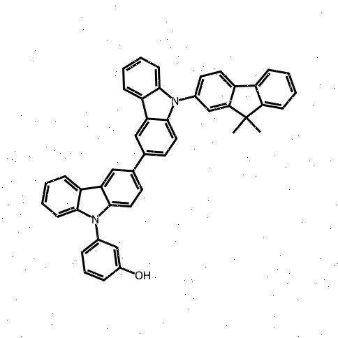 CC1(C)c2ccccc2-c2ccc(-n3c4ccccc4c4cc(-c5ccc6c(c5)c5ccccc5n6-c5cccc(O)c5)ccc43)cc21